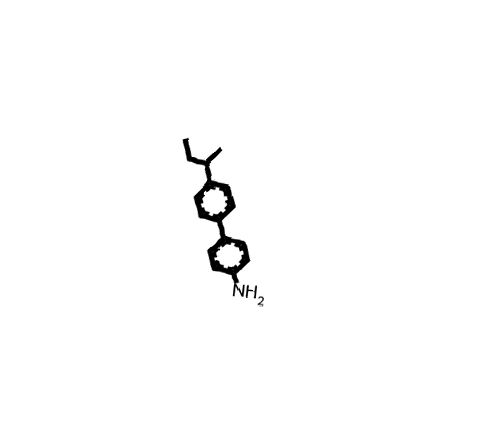 CCC(C)c1ccc(-c2ccc(N)cc2)cc1